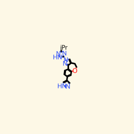 CC(C)c1n[nH]c(-n2cc3c(n2)-c2ccc(-c4cn[nH]c4)cc2OCC3)n1